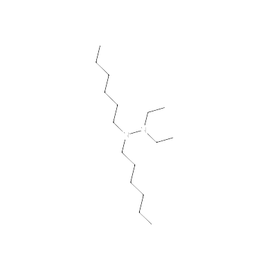 CCCCCCN(CCCCCC)N(CC)CC